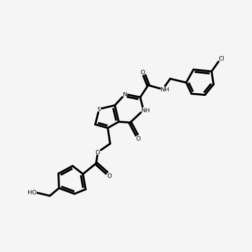 O=C(OCc1csc2nc(C(=O)NCc3cccc(Cl)c3)[nH]c(=O)c12)c1ccc(CO)cc1